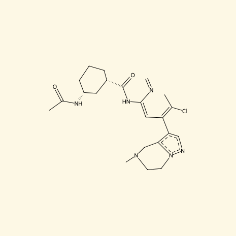 C=N/C(=C\C(=C(/C)Cl)c1cnn2c1CN(C)CC2)NC(=O)[C@H]1CCC[C@@H](NC(C)=O)C1